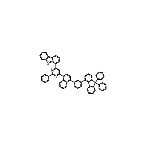 c1ccc(-c2nc(-c3ccc(-c4cccc(-c5cccc6c5-c5ccccc5C6(c5ccccc5)c5ccccc5)c4)c4ccccc34)cc(-c3cccc4c3sc3ccccc34)n2)cc1